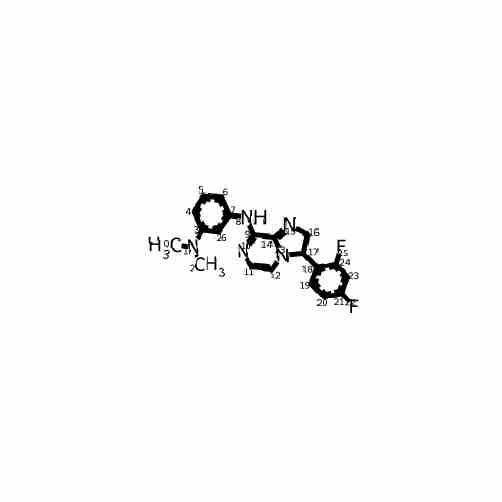 CN(C)c1cccc(NC2=NC=CN3C2=NCC3c2ccc(F)cc2F)c1